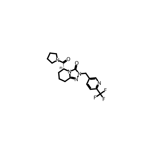 O=C([C@H]1CCCc2nn(Cc3ccc(C(F)(F)F)nc3)c(=O)n21)N1CCCC1